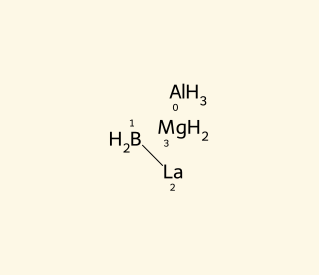 [AlH3].[BH2][La].[MgH2]